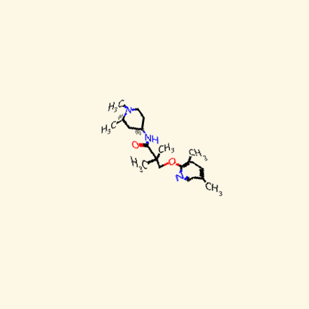 Cc1cnc(OCC(C)(C)C(=O)N[C@@H]2CCN(C)[C@H](C)C2)c(C)c1